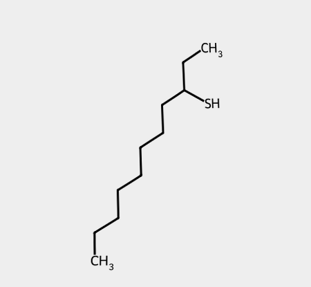 CCCCCCCCC(S)CC